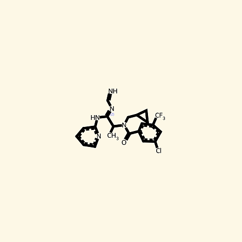 CC(/C(=N/C=N)Nc1ccccn1)N(CC1CC1)C(=O)c1cc(Cl)cc(C(F)(F)F)c1